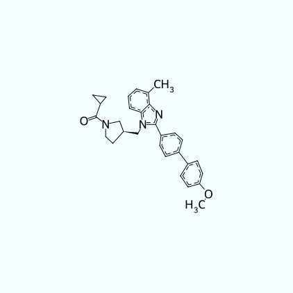 COc1ccc(-c2ccc(-c3nc4c(C)cccc4n3C[C@H]3CCN(C(=O)C4CC4)C3)cc2)cc1